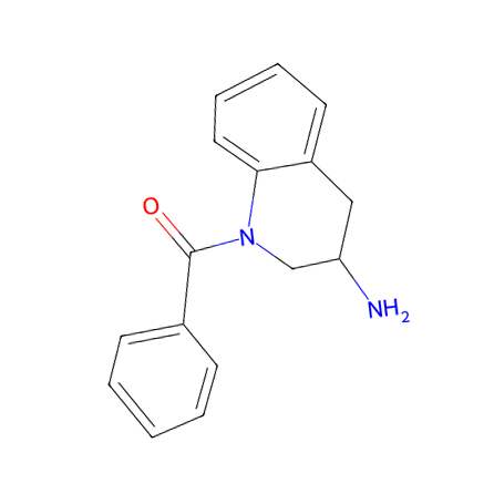 NC1Cc2ccccc2N(C(=O)c2ccccc2)C1